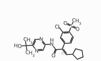 CC(C)(O)c1cnc(NC(=O)/C(=C/C2CCCC2)c2ccc(S(C)(=O)=O)c(Cl)c2)cn1